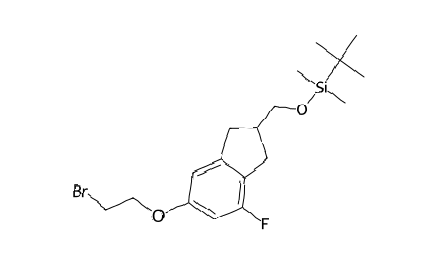 CC(C)(C)[Si](C)(C)OCC1Cc2cc(OCCBr)cc(F)c2C1